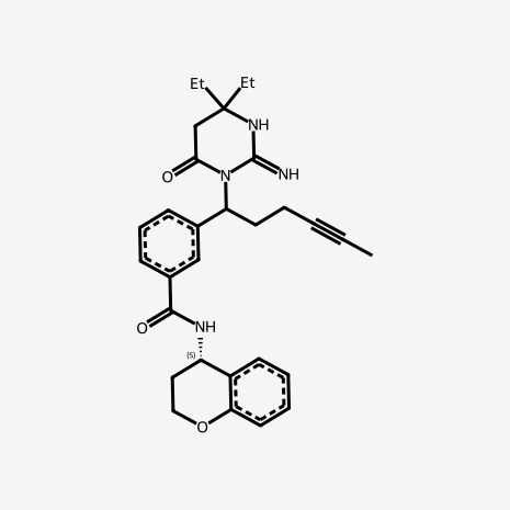 CC#CCCC(c1cccc(C(=O)N[C@H]2CCOc3ccccc32)c1)N1C(=N)NC(CC)(CC)CC1=O